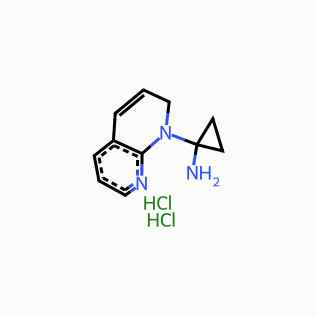 Cl.Cl.NC1(N2CC=Cc3cccnc32)CC1